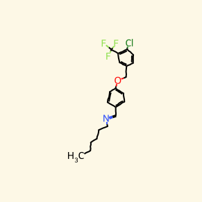 CCCCCCN=Cc1ccc(OCc2ccc(Cl)c(C(F)(F)F)c2)cc1